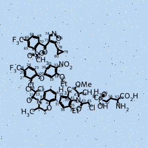 CC1COc2ccccc2N1C(=O)C(Cl)Cl.CCOc1cc(Oc2ccc(C(F)(F)F)cc2Cl)ccc1[N+](=O)[O-].CCc1cccc(C)c1N(C(=O)CCl)C(C)COC.CP(=O)(O)CCC(N)C(=O)O.CS(=O)(=O)c1cc(C(F)(F)F)ccc1C(=O)c1cnoc1C1CC1